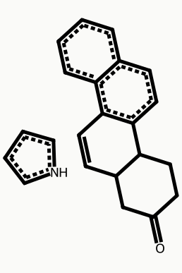 O=C1CCC2c3ccc4ccccc4c3C=CC2C1.c1cc[nH]c1